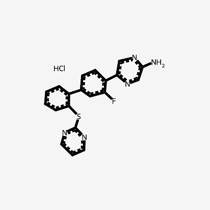 Cl.Nc1cnc(-c2ccc(-c3ccccc3Sc3ncccn3)cc2F)cn1